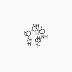 Cc1ccc(Nc2cc(C(C)(C)C)on2)cc1NCC(C=N)c1cncc(N2CCN(C)CC2)c1